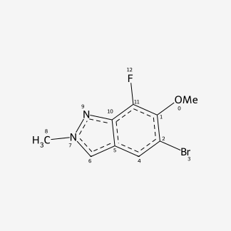 COc1c(Br)cc2cn(C)nc2c1F